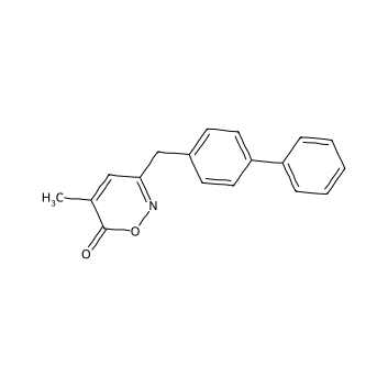 Cc1cc(Cc2ccc(-c3ccccc3)cc2)noc1=O